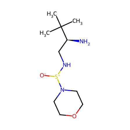 CC(C)(C)[C@@H](N)CN[S+]([O-])N1CCOCC1